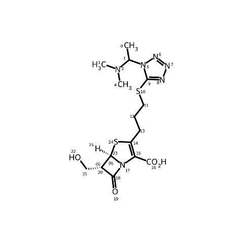 CC(N(C)C)n1nnnc1SCCCC1=C(C(=O)O)N2C(=O)[C@H](CO)[C@H]2S1